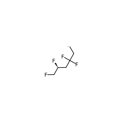 [CH2]CC(F)(F)C[C@H](F)CF